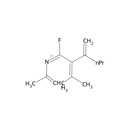 C=C(C)/N=C(/F)C(C(=C)CCC)=C(C)C